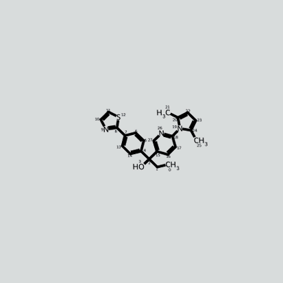 CCC(O)(c1ccc(-c2nccs2)cc1)c1ccc(-n2c(C)ccc2C)nc1